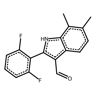 Cc1ccc2c(C=O)c(-c3c(F)cccc3F)[nH]c2c1C